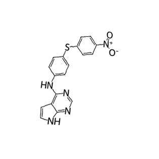 O=[N+]([O-])c1ccc(Sc2ccc(Nc3ncnc4[nH]ccc34)cc2)cc1